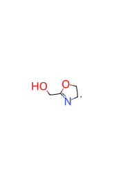 OCC1=N[CH]CO1